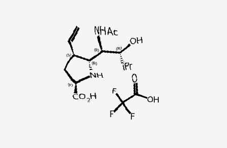 C=C[C@@H]1C[C@H](C(=O)O)N[C@H]1[C@@H](NC(C)=O)[C@H](O)C(C)C.O=C(O)C(F)(F)F